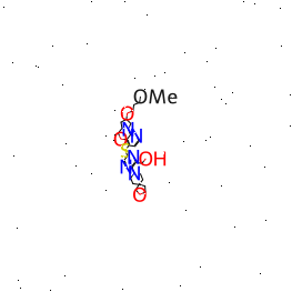 COCCCOC1CC2COc3c(Sc4cnc(N5CCC6(CCOC6)CC5)c(CO)n4)ccnc3N2C1